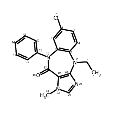 CCN1c2ccc(Cl)cc2N(c2ccccc2)C(=O)c2c1ncn2C